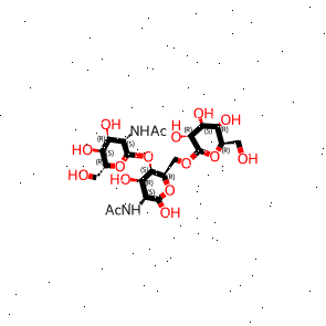 CC(=O)N[C@@H]1C(O[C@H]2[C@H](O)[C@H](NC(C)=O)C(O)O[C@@H]2COC2O[C@H](CO)[C@H](O)[C@H](O)[C@H]2O)O[C@H](CO)[C@@H](O)[C@@H]1O